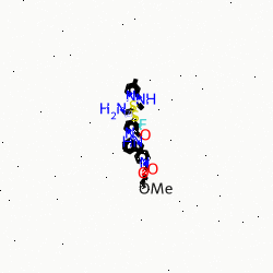 C=C(Nc1cc(C)ccn1)S/C(=C\N)Sc1ccnc(C(=O)NCC2(c3ccccc3)CCN(C(=O)OCCOC)CC2)c1F